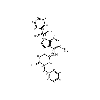 Nc1cnc2c(ccn2S(=O)(=O)c2ccccc2)c1NC1CCC(=O)N(Cc2ccccc2)C1